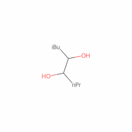 CCCC(O)C(O)C(C)CC